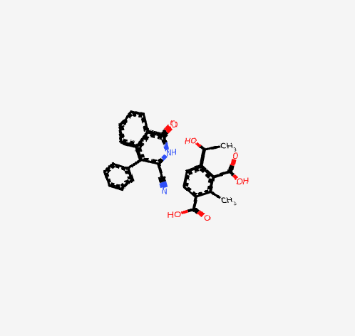 Cc1c(C(=O)O)ccc(C(C)O)c1C(=O)O.N#Cc1[nH]c(=O)c2ccccc2c1-c1ccccc1